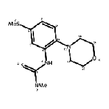 CNC(=S)Nc1cc(SC)ccc1N1CCOCC1